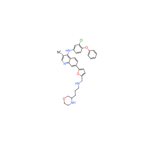 N#Cc1cnc2cc(-c3ccc(CNCCCC4COCCN4)o3)ccc2c1Nc1ccc(Oc2ccccc2)c(Cl)c1